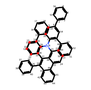 c1ccc(-c2ccc(N(c3ccccc3-c3ccccc3)c3cccc4c3c(-c3ccccc3)c(-c3ccccc3)c3ccccc34)c(-c3ccccc3)c2)cc1